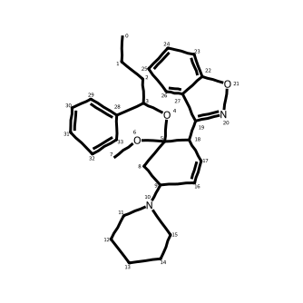 CCCC(OC1(OC)C[C](N2CCCCC2)C=CC1c1noc2ccccc12)c1ccccc1